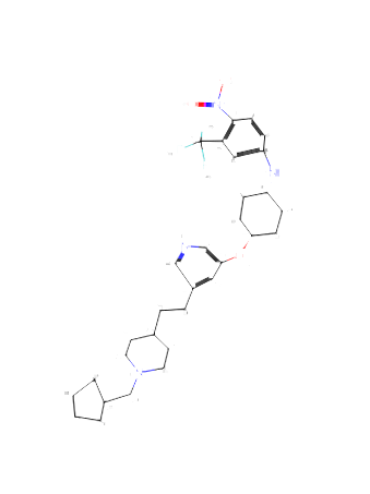 O=[N+]([O-])c1ccc(N[C@H]2CC[C@H](Oc3cncc(CCC4CCN(CC5CCCC5)CC4)c3)CC2)cc1C(F)(F)F